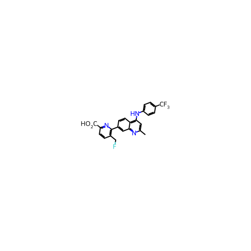 Cc1cc(Nc2ccc(C(F)(F)F)cc2)c2ccc(-c3nc(C(=O)O)ccc3CF)cc2n1